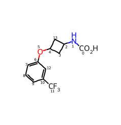 O=C(O)NC1CC(Oc2cccc(C(F)(F)F)c2)C1